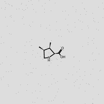 C[C@@H]1[C@H](C)CN[C@@H]1C(=O)O